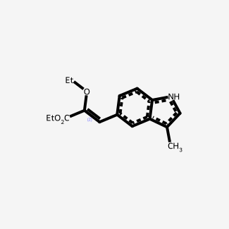 CCOC(=O)/C(=C/c1ccc2[nH]cc(C)c2c1)OCC